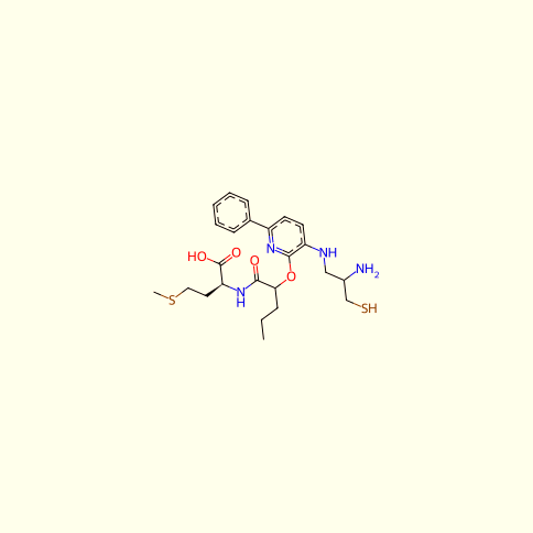 CCCC(Oc1nc(-c2ccccc2)ccc1NCC(N)CS)C(=O)N[C@@H](CCSC)C(=O)O